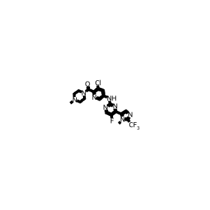 CN1CCN(C(=O)c2ncc(Nc3ncc(F)c(-c4cnc(C(F)(F)F)n4C)n3)cc2Cl)CC1